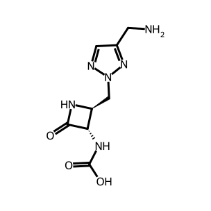 NCc1cnn(C[C@@H]2NC(=O)[C@H]2NC(=O)O)n1